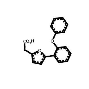 O=C(O)Cc1ccc(-c2ccccc2Oc2ccccc2)o1